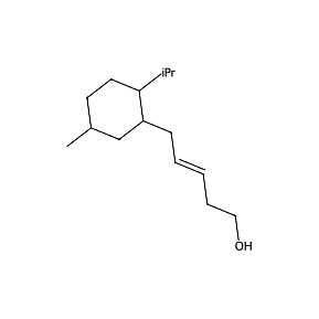 CC1CCC(C(C)C)C(CC=CCCO)C1